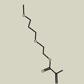 C=C(C)C(=O)OCCOCCCOC